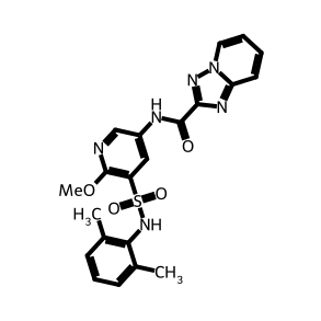 COc1ncc(NC(=O)c2nc3ccccn3n2)cc1S(=O)(=O)Nc1c(C)cccc1C